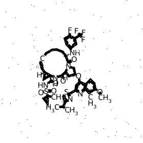 COc1ccc2c(O[C@@H]3C[C@H]4C(=O)N[C@]5(C(=O)NS(=O)(=O)C6(C)CC6)C[C@H]5/C=C\CCCCC[C@H](Nc5ccc(F)c(C(F)(F)F)c5)C(=O)N4C3)cc(-c3nc(C(C)C)cs3)nc2c1C